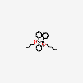 CCCCCO[SiH](c1ccccc1)[Si](OCCCC)(c1ccccc1)c1ccccc1